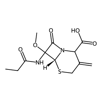 C=C1CS[C@H]2N(C(=O)C2(NC(=O)CC)OC)C1C(=O)O